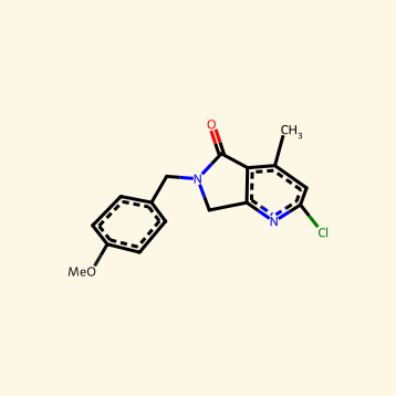 COc1ccc(CN2Cc3nc(Cl)cc(C)c3C2=O)cc1